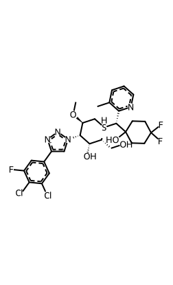 CO[C@H]1C[SH]([C@H](c2ncccc2C)C2(O)CCC(F)(F)CC2)[C@H](CO)[C@H](O)[C@@H]1n1cc(-c2cc(F)c(Cl)c(Cl)c2)nn1